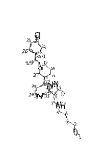 COCCCCNCc1c(C)nn2c(C3CCCN(Cc4ccc(Cl)cc4)C3)ccnc12